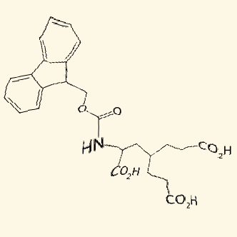 O=C(O)CCC(CCC(=O)O)CC(NC(=O)OCC1c2ccccc2-c2ccccc21)C(=O)O